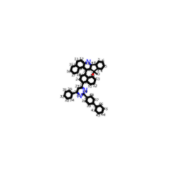 CC1(C)c2ccccc2-c2nc3ccc4ccccc4c3c(-c3ccc(-c4cc(-c5ccccc5)nc(-c5ccc(-c6ccccc6)cc5)n4)c4ccccc34)c21